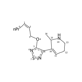 CCC/C=C\COc1nsnc1C1=CCCNC1C